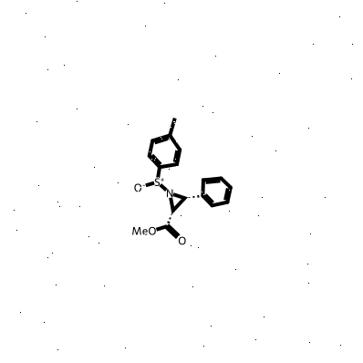 COC(=O)[C@H]1[C@@H](c2ccccc2)N1[S+]([O-])c1ccc(C)cc1